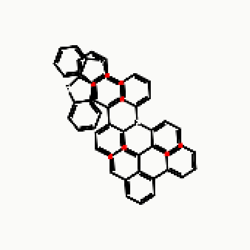 c1ccc(-c2cccc3cccc(-c4ccccc4N(c4cccc(-c5cccc6sc7ccccc7c56)c4)c4ccccc4-c4ccc5oc6ccccc6c5c4)c23)cc1